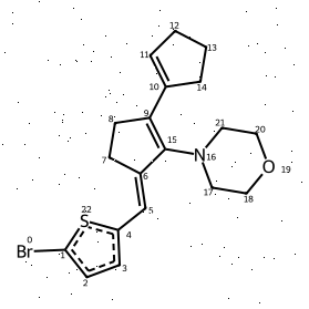 Brc1ccc(/C=C2\CCC(C3=CCCC3)=C2N2CCOCC2)s1